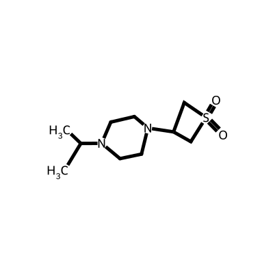 CC(C)N1CCN(C2CS(=O)(=O)C2)CC1